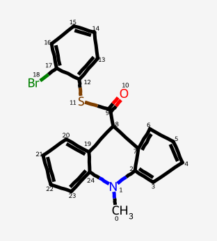 CN1c2ccccc2C(C(=O)Sc2ccccc2Br)c2ccccc21